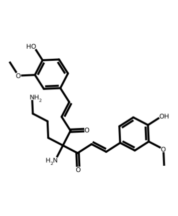 COc1cc(/C=C/C(=O)C(N)(CCCN)C(=O)/C=C/c2ccc(O)c(OC)c2)ccc1O